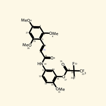 COc1cc(OC)c(/C=C/C(=O)Nc2ccc(OC)c(OC(=O)C(F)(F)C(F)(F)F)c2)c(OC)c1